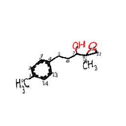 Cc1ccc(CC[C@@H](O)[C@]2(C)CO2)cc1